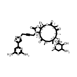 CC[C@H]1OC(=O)[C@@](C)(F)C(=O)[C@H](C)[C@@H](O[C@@H]2O[C@H](C)CC(N)C2O)[C@](C)(OC)C[C@@H](C)C(=O)[C@H](C)[C@H]2N(CC#CCn3cc(-c4cc(N)nc(N)n4)nn3)C(=O)O[C@]12C